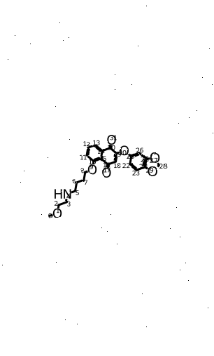 COCCNCCCCOc1cccc2c1C(=O)C=C(Oc1ccc3c(c1)OCO3)C2=O